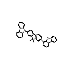 CC1(C)c2cc(-c3cccc4c3sc3ccccc34)ccc2-c2ccc(-n3c4ccccc4c4ccccc43)cc21